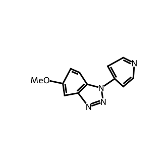 COc1ccc2c(c1)nnn2-c1ccncc1